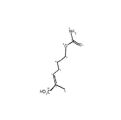 CC(=CCCCOC(N)=O)C(=O)O